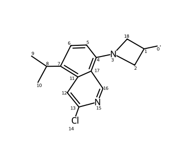 [CH2]C1CN(c2ccc(C(C)C)c3cc(Cl)ncc23)C1